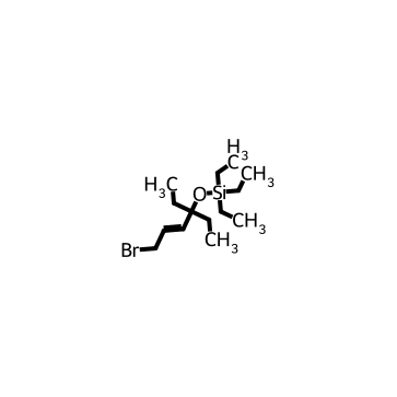 CCC(C=CCBr)(CC)O[Si](CC)(CC)CC